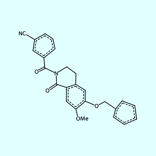 COc1cc2c(cc1OCc1ccccc1)CCN(C(=O)c1cccc(C#N)c1)C2=O